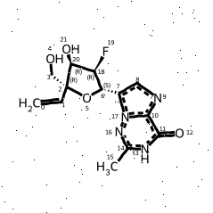 C=C[C@]1(CO)O[C@@H](c2cnc3c(=O)[nH]c(C)nn23)[C@H](F)[C@@H]1O